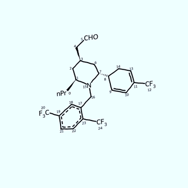 CCC[C@H]1C[C@@H](CC=O)C[C@H](C2C=CC(C(F)(F)F)=CC2)N1Cc1cc(C(F)(F)F)ccc1C(F)(F)F